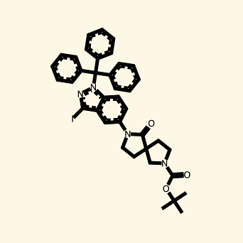 CC(C)(C)OC(=O)N1CCC2(CCN(c3ccc4c(c3)c(I)nn4C(c3ccccc3)(c3ccccc3)c3ccccc3)C2=O)C1